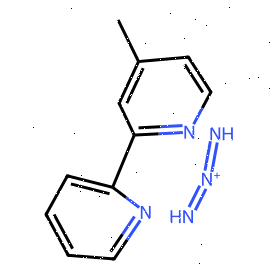 Cc1ccnc(-c2ccccn2)c1.N=[N+]=N